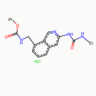 CCNC(=O)Nc1cc2cccc(CNC(=O)OC(C)C)c2cn1.Cl